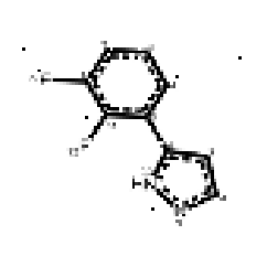 Fc1cccc(-c2ccn[nH]2)c1F